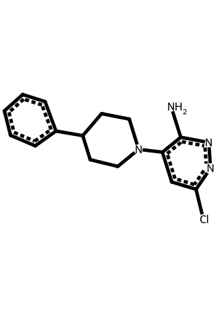 Nc1nnc(Cl)cc1N1CCC(c2ccccc2)CC1